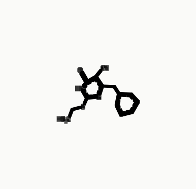 N#Cc1c(Cc2ccccc2)nc(SCC(=O)O)[nH]c1=O